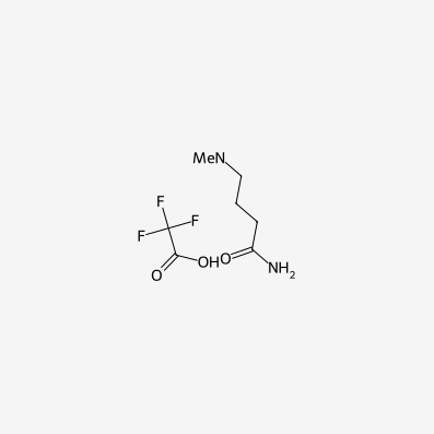 CNCCCC(N)=O.O=C(O)C(F)(F)F